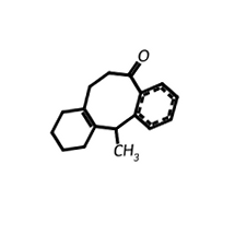 CC1C2=C(CCCC2)CCC(=O)c2ccccc21